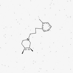 Cc1ccccc1CCCN1CC[C@H](C)[C@H](C)C1